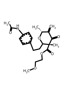 C=C1C(=O)[C@](C)(C(=O)OCCOC)C(CCc2ccc(NC(C)=O)cc2)O[C@@H]1C